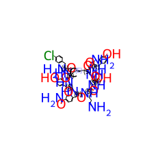 C[C@@H](O)[C@@H]1NC(=O)[C@H](CCCCN)NC(=O)[C@@H](Cc2ccc(C(N)=O)cc2)NC(=O)[C@H](Cc2ccc(O)cc2)NC(=O)[C@H](NC(=O)[C@@H](N)Cc2ccc(Cl)cc2)C/C=C/C[C@@H](C(=O)N[C@H](Cc2ccc(O)cc2)C(N)=O)NC1=O